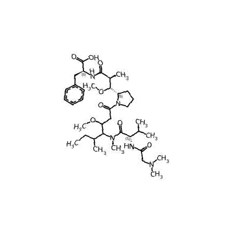 CCC(C)C(C(CC(=O)N1CCC[C@H]1C(OC)C(C)C(=O)N[C@@H](Cc1ccccc1)C(=O)O)OC)N(C)C(=O)[C@@H](NC(=O)CN(C)C)C(C)C